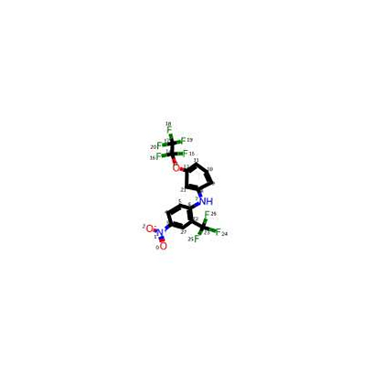 O=[N+]([O-])c1ccc(Nc2cccc(OC(F)(F)C(F)(F)F)c2)c(C(F)(F)F)c1